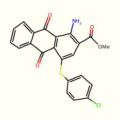 COC(=O)c1cc(Sc2ccc(Cl)cc2)c2c(c1N)C(=O)c1ccccc1C2=O